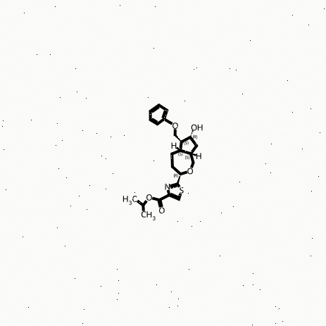 CC(C)OC(=O)c1csc([C@H]2CC[C@H]3[C@@H](CO2)C[C@@H](O)[C@@H]3COc2ccccc2)n1